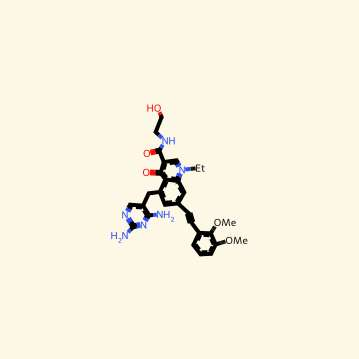 CCn1cc(C(=O)NCCO)c(=O)c2c(Cc3cnc(N)nc3N)cc(C#Cc3cccc(OC)c3OC)cc21